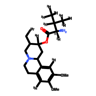 [2H]c1c2c(c([2H])c(OC)c1OC)C1CC([2H])(OC(=O)[C@@]([2H])(N)C([2H])(C([2H])([2H])[2H])C([2H])([2H])[2H])C(CC(C)C)CN1CC2